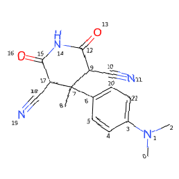 CN(C)c1ccc(C2(C)C(C#N)C(=O)NC(=O)C2C#N)cc1